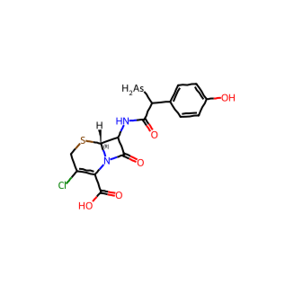 O=C(O)C1=C(Cl)CS[C@@H]2C(NC(=O)C([AsH2])c3ccc(O)cc3)C(=O)N12